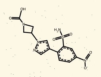 NS(=O)(=O)c1cc([N+](=O)[O-])ccc1-c1cnn(C2CN(C(=O)O)C2)c1